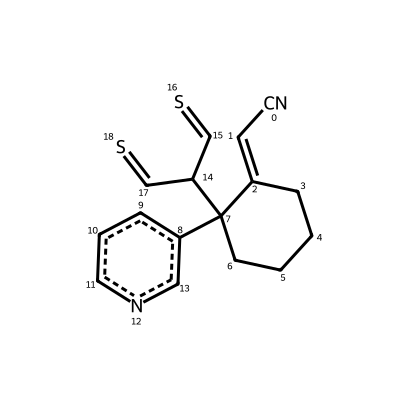 N#CC=C1CCCCC1(c1cccnc1)C(C=S)C=S